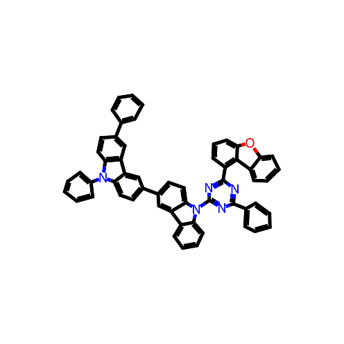 c1ccc(-c2ccc3c(c2)c2cc(-c4ccc5c(c4)c4ccccc4n5-c4nc(-c5ccccc5)nc(-c5cccc6oc7ccccc7c56)n4)ccc2n3-c2ccccc2)cc1